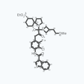 CCOC(=O)[C@H]1CC[C@H](OC(C(=O)Cc2ccc(NC(=O)c3csc4ccccc34)c(Cl)c2F)(N2CCCC2)N2CC(CCOC)C2)CC1